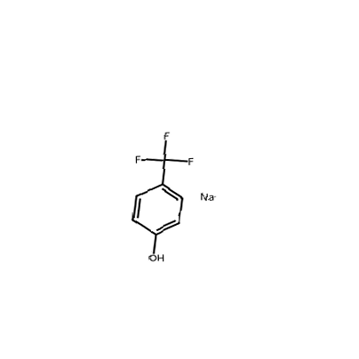 Oc1ccc(C(F)(F)F)cc1.[Na]